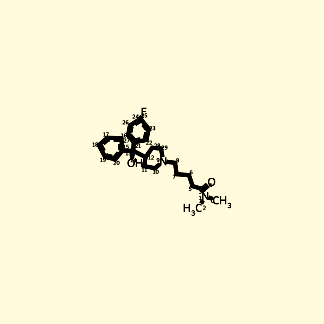 CN(C)C(=O)CCCCN1CCC(C(O)(c2ccccc2)c2ccc(F)cc2)CC1